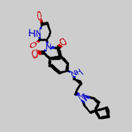 O=C1CCC(N2C(=O)c3ccc(NCCCN4CCC5(CCC5)CC4)cc3C2=O)C(=O)N1